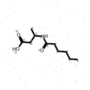 CCCCCC(=O)NC(C)CC(=O)O